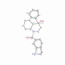 O=C(c1ccc2cc[nH]c2c1)N1CCC(O)(c2ccccc2)C2CCCCC21